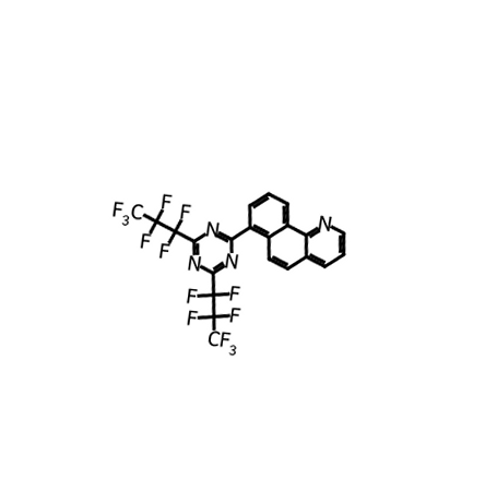 FC(F)(F)C(F)(F)C(F)(F)c1nc(-c2cccc3c2ccc2cccnc23)nc(C(F)(F)C(F)(F)C(F)(F)F)n1